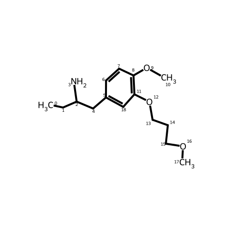 CCC(N)Cc1ccc(OC)c(OCCCOC)c1